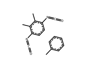 Cc1c(N=C=O)ccc(N=C=O)c1C.Cc1ccccc1